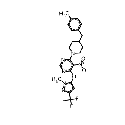 Cc1ccc(CC2CCN(c3ncnc(Oc4cc(C(F)(F)F)nn4C)c3[N+](=O)[O-])CC2)cc1